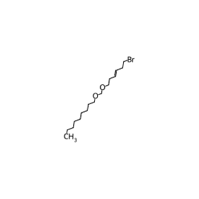 CCCCCCCCCOCOCCC=CCCBr